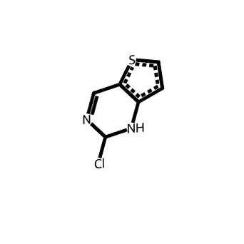 ClC1N=Cc2sccc2N1